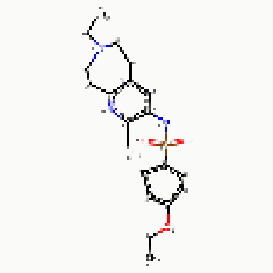 CCOc1ccc(S(=O)(=O)Nc2cc3c(nc2C)CCN(CC)CC3)cc1